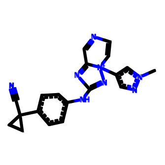 Cn1cc([N+]23C=CN=CC2=NC(Nc2ccc(C4(C#N)CC4)cc2)=N3)cn1